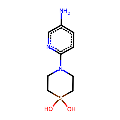 Nc1ccc(N2CCS(O)(O)CC2)nc1